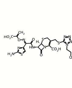 C=C(O/N=C(/C(=O)N[C@@H]1C(=O)N2C(C(=O)O)=C(CSc3nnnn3CCO)CS[C@H]12)c1csc(N)n1)C(=O)O